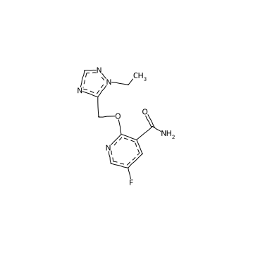 CCn1ncnc1COc1ncc(F)cc1C(N)=O